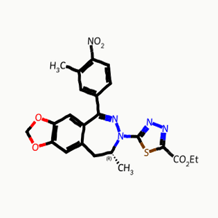 CCOC(=O)c1nnc(N2N=C(c3ccc([N+](=O)[O-])c(C)c3)c3cc4c(cc3C[C@H]2C)OCO4)s1